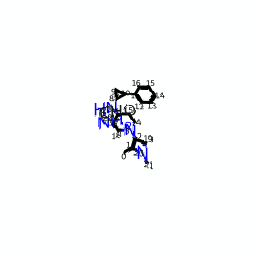 CC1C(N2CCC(N[C@@H]3C[C@H]3c3ccccc3)CC2)CN1C.NC=O